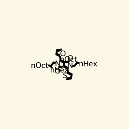 CCCCCCCCC(CCCCCC)CN1C(=O)C2=C(c3cccs3)N(CC(CCCCCC)CCCCCCCC)C(=O)C2=C1c1ccco1